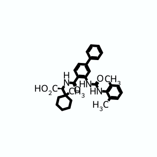 Cc1cccc(C)c1NC(=O)Nc1cc(-c2ccccc2)ccc1C(=O)N[C@H](C(=O)O)C1(C)CCCCC1